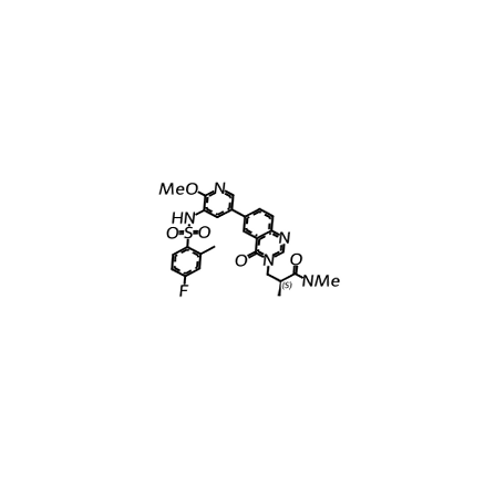 CNC(=O)[C@@H](C)Cn1cnc2ccc(-c3cnc(OC)c(NS(=O)(=O)c4ccc(F)cc4C)c3)cc2c1=O